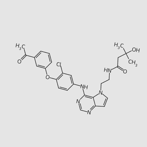 CC(=O)c1cccc(Oc2ccc(Nc3ncnc4ccn(CCNC(=O)CC(C)(C)O)c34)cc2Cl)c1